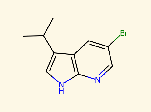 CC(C)c1c[nH]c2ncc(Br)cc12